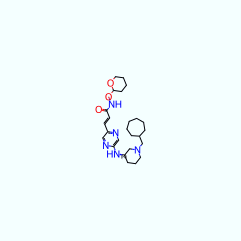 O=C(C=Cc1cnc(N[C@@H]2CCCN(CC3CCCCCC3)C2)cn1)NOC1CCCCO1